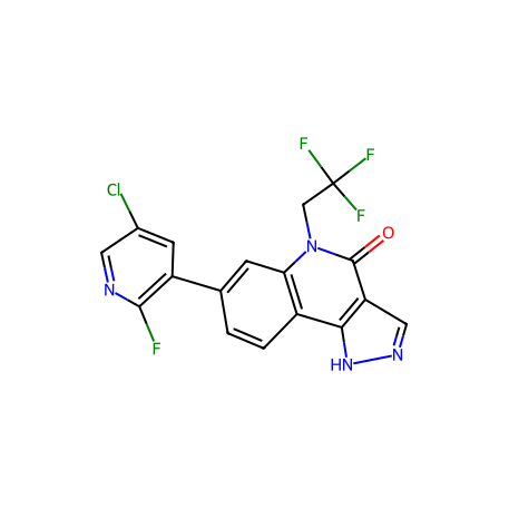 O=c1c2cn[nH]c2c2ccc(-c3cc(Cl)cnc3F)cc2n1CC(F)(F)F